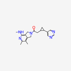 CNc1nc(C)c(C)c2c1CN(C(=O)CC1CC1c1cncnc1)C2